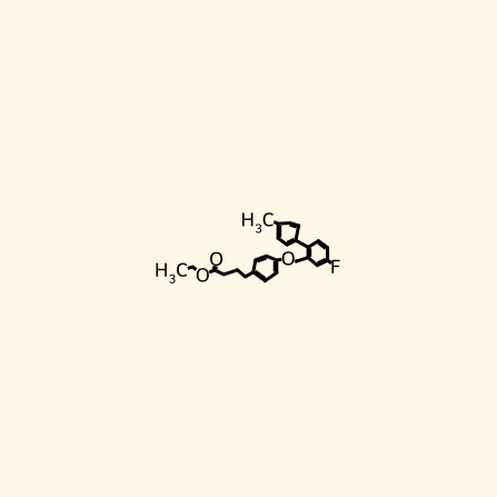 CCOC(=O)CCCc1ccc(OCc2cc(F)ccc2-c2ccc(C)cc2)cc1